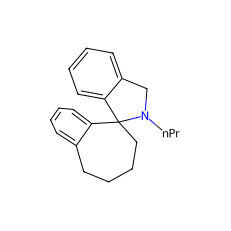 CCCN1Cc2ccccc2C12CCCCc1ccccc12